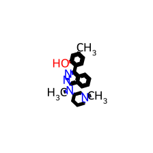 Cc1ccc(-c2nnc(N(C)C3CCCN(C)C3)c3ccccc23)c(O)c1